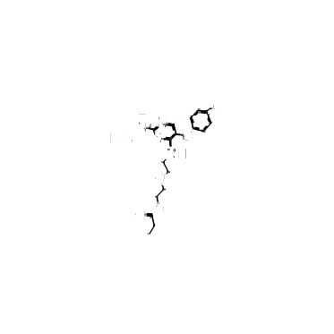 CCC(=O)OCCOCCNc1nc(N)ncc1Oc1ccc(Cl)cc1.Cl